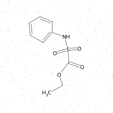 CCOC(=O)S(=O)(=O)Nc1ccccc1